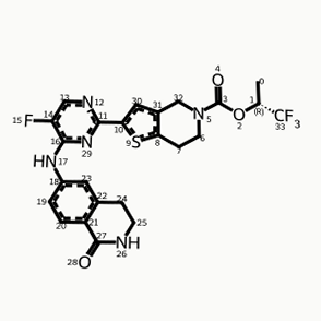 C[C@@H](OC(=O)N1CCc2sc(-c3ncc(F)c(Nc4ccc5c(c4)CCNC5=O)n3)cc2C1)C(F)(F)F